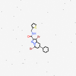 O=C(NCc1cccs1)c1nn2c(Br)cc(-c3ccccc3)cc2c1Br